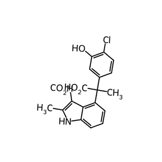 Cc1[nH]c2cccc(C(C)(C(=O)O)c3ccc(Cl)c(O)c3)c2c1C(=O)O